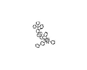 c1ccc(-c2ccc(-c3nc(-c4ccccc4)nc(-c4ccccc4-c4cccc5c4Oc4c(ccc6c4-c4ccccc4C6(c4ccccc4)c4ccccc4)O5)n3)cc2)cc1